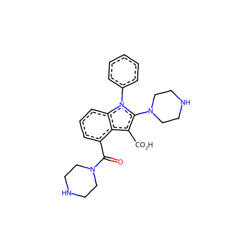 O=C(O)c1c(N2CCNCC2)n(-c2ccccc2)c2cccc(C(=O)N3CCNCC3)c12